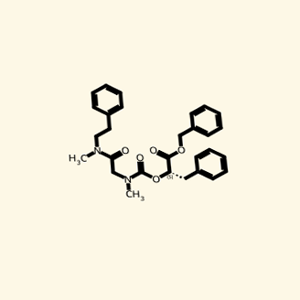 CN(CCc1ccccc1)C(=O)CN(C)C(=O)O[C@@H](Cc1ccccc1)C(=O)OCc1ccccc1